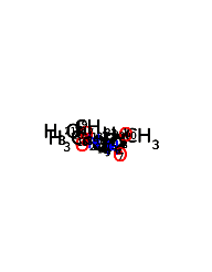 COc1cc2n(c(=O)c1)CC1C[C@H]2CN(C(=O)OC(C)(C)C)C1